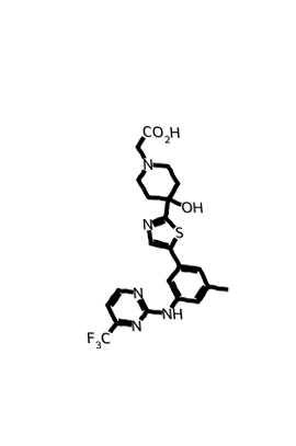 Cc1cc(Nc2nccc(C(F)(F)F)n2)cc(-c2cnc(C3(O)CCN(CC(=O)O)CC3)s2)c1